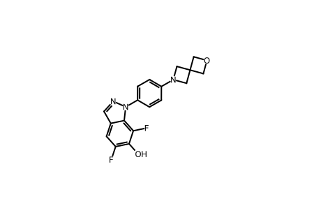 Oc1c(F)cc2cnn(-c3ccc(N4CC5(COC5)C4)cc3)c2c1F